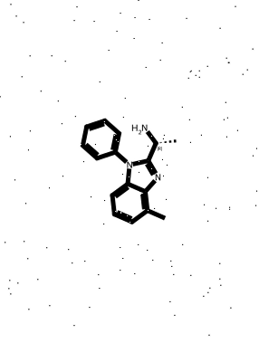 Cc1cccc2c1nc([C@@H](C)N)n2-c1ccccc1